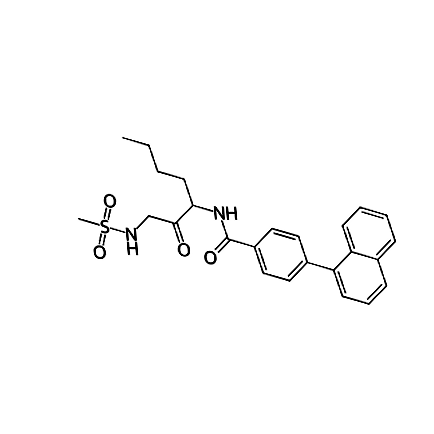 CCCCC(NC(=O)c1ccc(-c2cccc3ccccc23)cc1)C(=O)CNS(C)(=O)=O